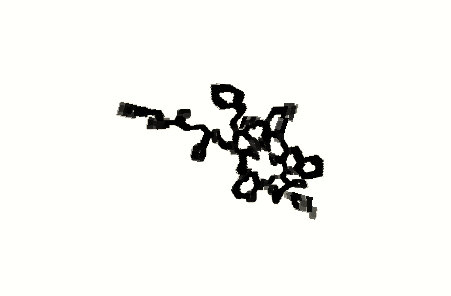 C#CCNC(=O)CCC(=O)OCN(C(=O)CN1CCOCC1)[C@@H](CCc1ccccc1)C(=O)N[C@@H](CC(C)C)C(=O)N[C@@H](Cc1ccccc1)C(=O)N[C@@H](CC(C)C)C(=O)[C@@]1(C)CO1